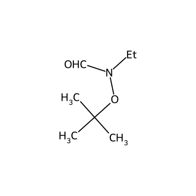 [CH2]CN(C=O)OC(C)(C)C